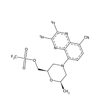 [2H]c1nc2c(C#N)ccc(N3C[C@H](COS(=O)(=O)C(F)(F)F)O[C@H](C)C3)c2nc1[2H]